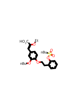 CCCCOc1cc(C=C(OCC)C(=O)O)ccc1OCCc1ccccc1OS(=O)(=O)CCCC